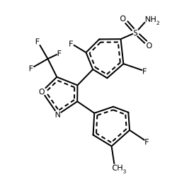 Cc1cc(-c2noc(C(F)(F)F)c2-c2cc(F)c(S(N)(=O)=O)cc2F)ccc1F